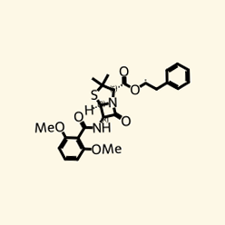 COc1cccc(OC)c1C(=O)N[C@@H]1C(=O)N2[C@@H]1SC(C)(C)[C@@H]2C(=O)O[CH]Cc1ccccc1